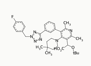 Cc1nc(C)c(C(OC(C)(C)C)C(=O)O)c(N2CCC(C)(C)CC2)c1-c1cccc(-c2nnn(Cc3ccc(F)cc3)n2)c1